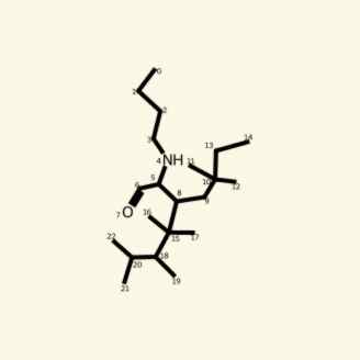 CCCCNC(C=O)C(CC(C)(C)CC)C(C)(C)C(C)C(C)C